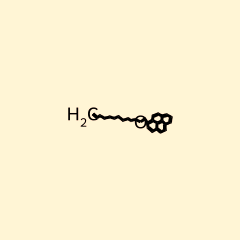 C=CCCCCCCCCCOCc1ccc2ccc3cccc4ccc1c2c34